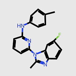 Cc1ccc(Nc2cccc(-n3c(C)nc4ccc(F)cc43)n2)cc1